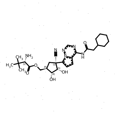 CC(C)(C)[C@H](N)C(=O)OC[C@H]1C[C@@](C#N)(c2ccc3c(NC(=O)CC4CCCCC4)ncnn23)[C@H](O)[C@@H]1O